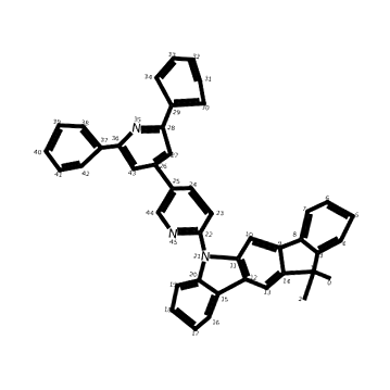 CC1(C)c2ccccc2-c2cc3c(cc21)c1ccccc1n3-c1ccc(-c2cc(-c3ccccc3)nc(-c3ccccc3)c2)cn1